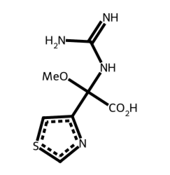 COC(NC(=N)N)(C(=O)O)c1cscn1